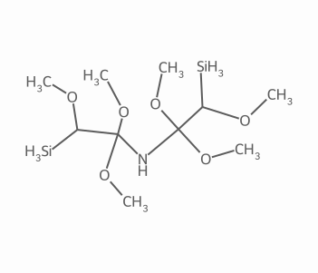 COC([SiH3])C(NC(OC)(OC)C([SiH3])OC)(OC)OC